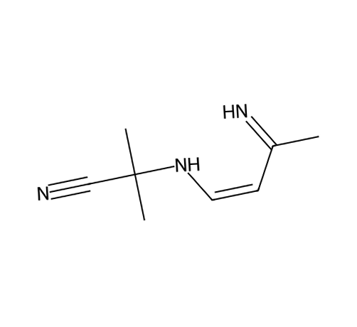 CC(=N)/C=C\NC(C)(C)C#N